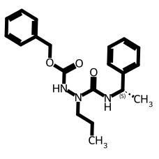 CCCN(NC(=O)OCc1ccccc1)C(=O)N[C@@H](C)c1ccccc1